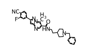 Cc1c(C(=O)NCCC2CCN(Cc3ccccc3)CC2)cnc2cc(-c3ccc(C#N)c(F)c3)nn12